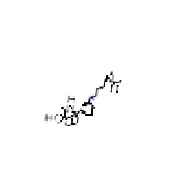 CC(=O)N(C)CCC/C=C/c1cccc(C(=O)NC(C)C(=O)O)c1